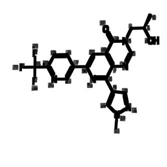 C[C@@H](O)Cn1cnc2c(-c3cnn(C)c3)nc(-c3ccc(C(F)(F)F)nc3)cc2c1=O